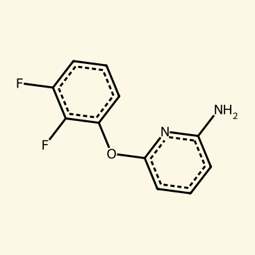 Nc1cccc(Oc2cccc(F)c2F)n1